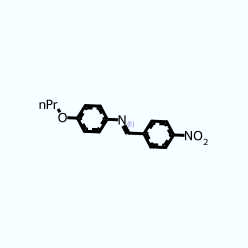 CCCOc1ccc(/N=C/c2ccc([N+](=O)[O-])cc2)cc1